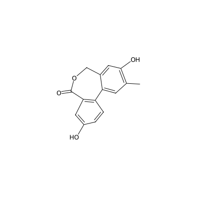 Cc1cc2c(cc1O)COC(=O)c1cc(O)ccc1-2